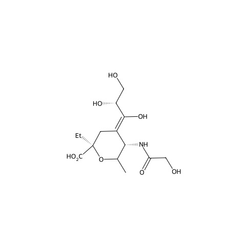 CC[C@]1(C(=O)O)C/C(=C(/O)[C@H](O)CO)[C@H](NC(=O)CO)C(C)O1